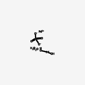 O.O.O=S(=O)([O-])[O-].[OH][Pd][OH].[Pd+2]